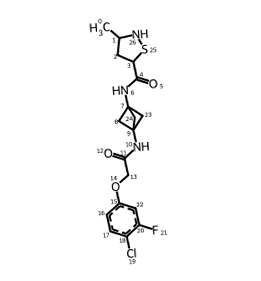 CC1CC(C(=O)NC23CC(NC(=O)COc4ccc(Cl)c(F)c4)(C2)C3)SN1